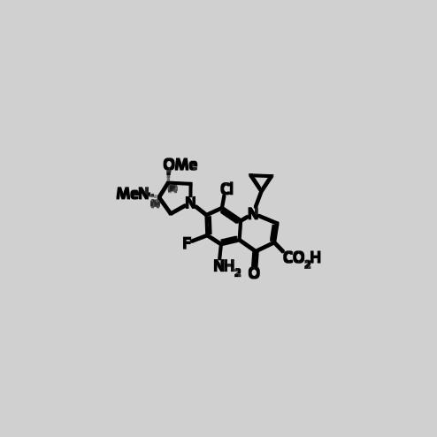 CN[C@H]1CN(c2c(F)c(N)c3c(=O)c(C(=O)O)cn(C4CC4)c3c2Cl)C[C@H]1OC